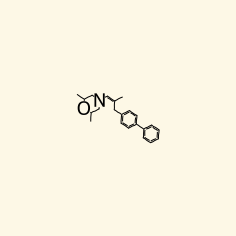 CC(=CN1CC(C)OC(C)C1)Cc1ccc(-c2ccccc2)cc1